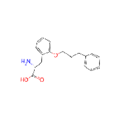 N[C@H](Cc1ccccc1OCCCc1ccccc1)C(=O)O